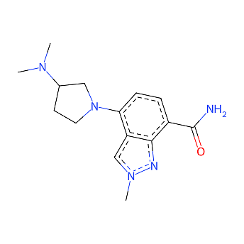 CN(C)C1CCN(c2ccc(C(N)=O)c3nn(C)cc23)C1